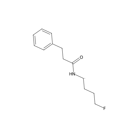 O=C(CCc1ccccc1)N[CH]CCCF